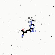 CC(=O)C(C#N)=CCc1c[nH]c2ncc(NC(C)C)nc12